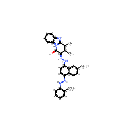 CC1=C(C#N)c2nc3ccccc3n2C(=O)/C1=N/Nc1ccc(N=Nc2ccccc2S(=O)(=O)O)c2ccc(S(=O)(=O)O)cc12